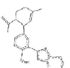 C=C(C)C1CCC(C)=CC1c1ccc(CCCCC)c(-c2cc3ccccc3s2)c1